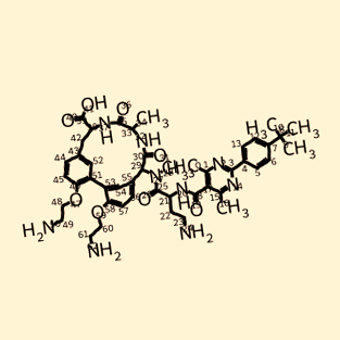 Cc1nc(-c2ccc(C(C)(C)C)cc2)nc(C)c1C(=O)NC(CCN)C(=O)N(C)C1C(=O)NC(C)C(=O)NC(C(=O)O)Cc2ccc(OCCN)c(c2)-c2cc1ccc2OCCN